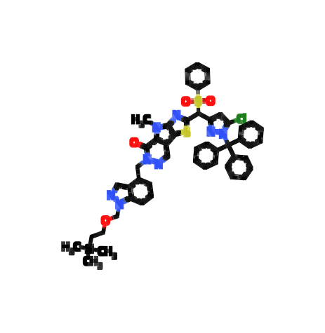 Cn1c2nc(C(c3cc(Cl)n(C(c4ccccc4)(c4ccccc4)c4ccccc4)n3)S(=O)(=O)c3ccccc3)sc2c2cnn(Cc3cccc4c3cnn4COCC[Si](C)(C)C)c(=O)c21